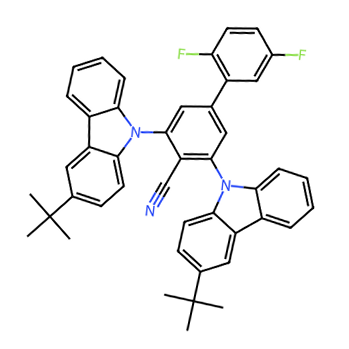 CC(C)(C)c1ccc2c(c1)c1ccccc1n2-c1cc(-c2cc(F)ccc2F)cc(-n2c3ccccc3c3cc(C(C)(C)C)ccc32)c1C#N